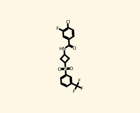 O=C(NC1CC(S(=O)(=O)c2cccc(C(F)(F)F)c2)C1)c1ccc(Cl)c(F)c1